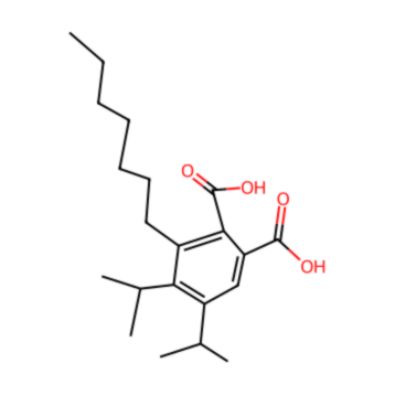 CCCCCCCc1c(C(=O)O)c(C(=O)O)cc(C(C)C)c1C(C)C